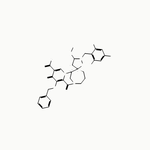 COC1[C@@H](F)[C@]2(CC[C@H](C)N3C[C@H]2n2cc(C(N)=O)c(=O)c(OCc4ccccc4)c2C3=O)ON1Cc1c(F)cc(F)cc1F